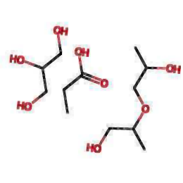 CC(O)COC(C)CO.CCC(=O)O.OCC(O)CO